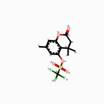 Cc1cc2c(c(OS(=O)(=O)C(F)(F)F)c1)C(C)(C)CC(=O)O2